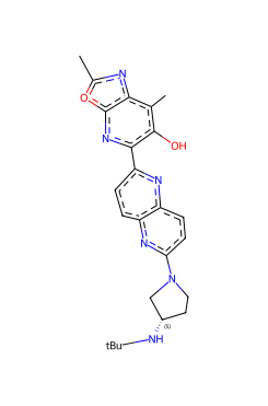 Cc1nc2c(C)c(O)c(-c3ccc4nc(N5CC[C@H](NC(C)(C)C)C5)ccc4n3)nc2o1